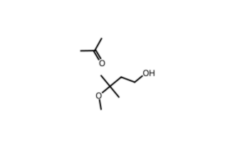 CC(C)=O.COC(C)(C)CCO